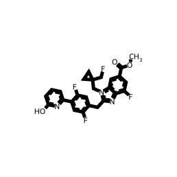 COC(=O)c1cc(F)c2nc(Cc3cc(F)c(-c4cccc(O)n4)cc3F)n(CC3(CF)CC3)c2c1